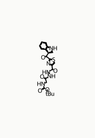 CC(C)(C)OC(=O)NCC(=O)NNC(=O)c1csc(C(=O)c2c[nH]c3ccccc23)n1